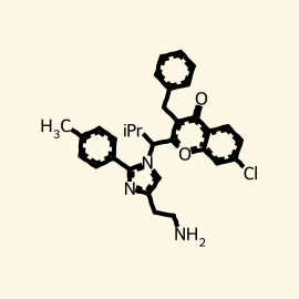 Cc1ccc(-c2nc(CCN)cn2C(c2oc3cc(Cl)ccc3c(=O)c2Cc2ccccc2)C(C)C)cc1